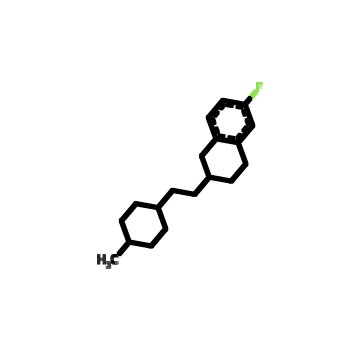 CC1CCC(CCC2CCc3cc(F)ccc3C2)CC1